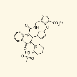 CCOC(=O)c1csc(CNC(=O)[C@@H]2c3ccccc3C(=O)N([C@H]3CCCC[C@@H]3NS(C)(=O)=O)C2C2C=CC(Cl)=C2)n1